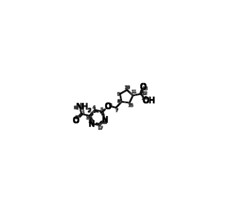 NC(=O)c1cc(OCC2CCC(C(=O)O)C2)ncn1